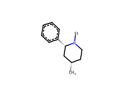 CCN1CC[C@H](C)C[C@@H]1c1ccccc1